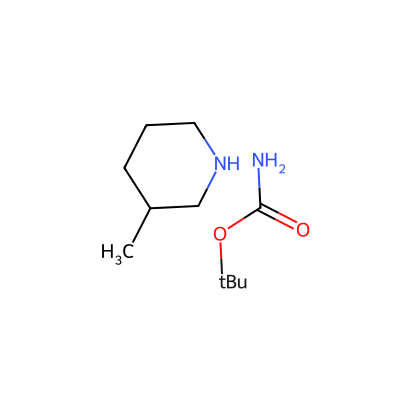 CC(C)(C)OC(N)=O.CC1CCCNC1